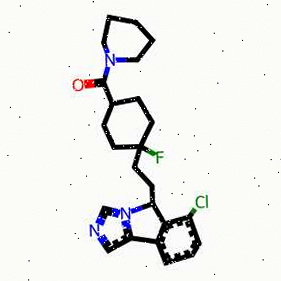 O=C(C1CCC(F)(CCC2c3c(Cl)cccc3-c3cncn32)CC1)N1CCCCC1